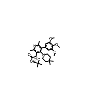 COc1cc(-c2c(C)nc(C)c([C@H](OC(C)(C)C)C(=O)O)c2N2CCC(C)(C)CC2)cc(OC)c1OC